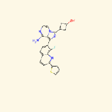 Nc1nccn2c(C3CC(O)C3)nc(-c3ccc4ccc(-c5cccs5)nc4c3F)c12